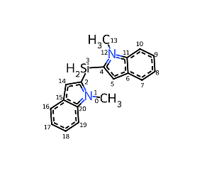 Cn1c([SiH2]c2cc3ccccc3n2C)cc2ccccc21